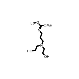 CCOC(=NCCCN(CCO)CCO)OC